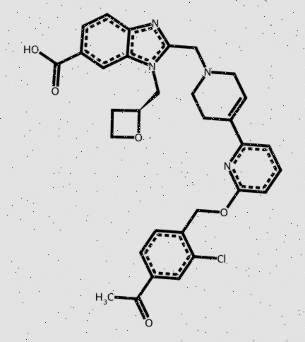 CC(=O)c1ccc(COc2cccc(C3=CCN(Cc4nc5ccc(C(=O)O)cc5n4C[C@@H]4CCO4)CC3)n2)c(Cl)c1